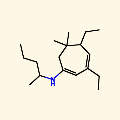 CCCC(C)NC1=CC(CC)=CC(CC)C(C)(C)C1